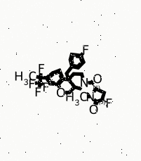 CN1C(=O)[C@@H](F)C[C@H]1C(=O)N1CCC2(Cc3ccc(F)cc3)c3ccc(C(C)(F)C(F)(F)F)cc3OCC2C1